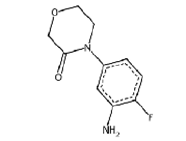 Nc1cc(N2CCOCC2=O)ccc1F